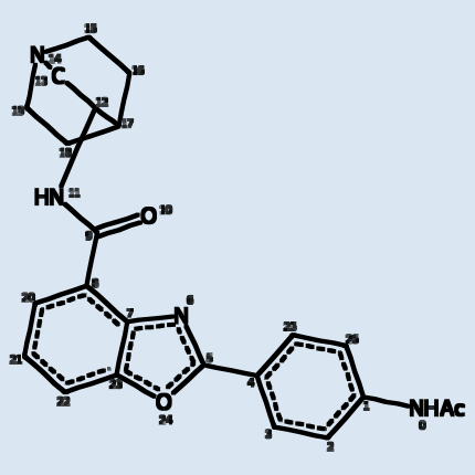 CC(=O)Nc1ccc(-c2nc3c(C(=O)NC4CN5CCC4CC5)cccc3o2)cc1